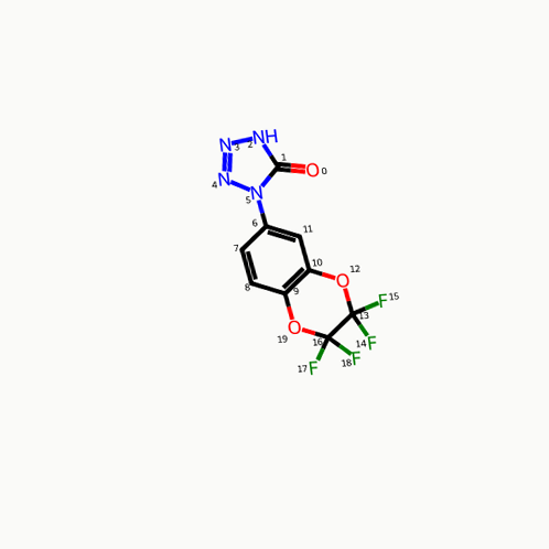 O=c1[nH]nnn1-c1ccc2c(c1)OC(F)(F)C(F)(F)O2